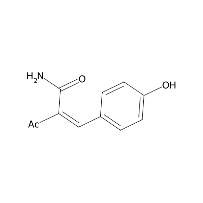 CC(=O)C(=Cc1ccc(O)cc1)C(N)=O